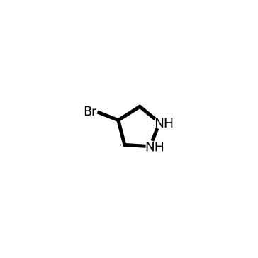 BrC1[CH]NNC1